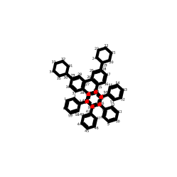 c1ccc(-c2nc(-c3ccccc3)nc(-c3ccc(C4CCCCC4)cc3-c3cc(C4CCCCC4)ccc3-c3nc(-c4ccccc4)nc(-c4ccccc4)n3)n2)cc1